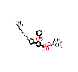 CCCCCCCCCCc1ccc(-c2ccc(C(=O)OC(=O)OC[C@@H](C)CC)cc2OC(=S)c2ccccc2)cc1